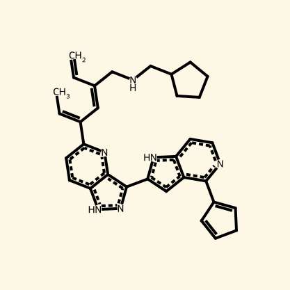 C=C/C(=C\C(=C/C)c1ccc2[nH]nc(-c3cc4c(C5=CCC=C5)nccc4[nH]3)c2n1)CNCC1CCCC1